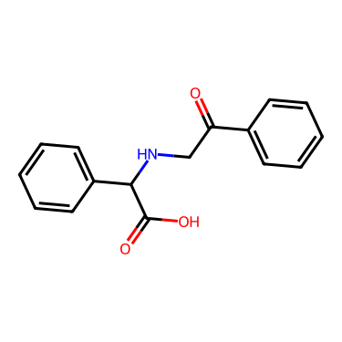 O=C(CNC(C(=O)O)c1ccccc1)c1ccccc1